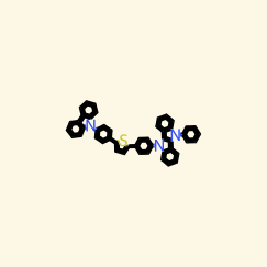 c1ccc(-n2c3ccccc3c3c2c2ccccc2n3-c2ccc(-c3ccc(-c4ccc(-n5c6ccccc6c6ccccc65)cc4)s3)cc2)cc1